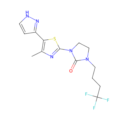 Cc1nc(N2CCN(CCCC(F)(F)F)C2=O)sc1-c1cc[nH]n1